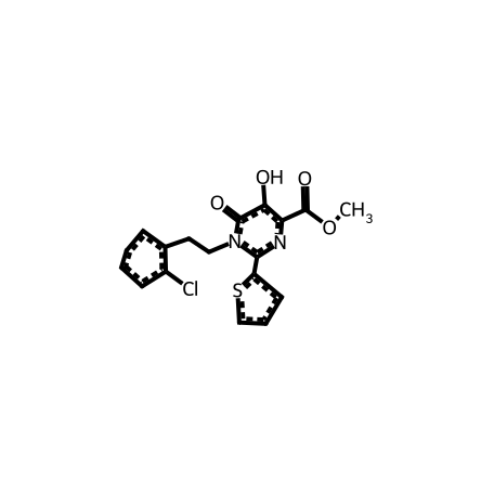 COC(=O)c1nc(-c2cccs2)n(CCc2ccccc2Cl)c(=O)c1O